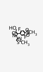 Cc1nc(-c2noc(CO)c2-c2cc(F)c(S(C)(=O)=O)cc2F)cs1